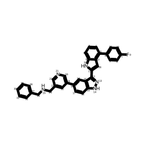 Fc1ccc(-c2cccc3[nH]c(-c4n[nH]c5ccc(-c6cncc(CNCc7ccccc7)c6)cc45)cc23)cc1